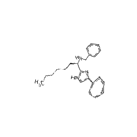 CCCCCC[C@@H](NCc1ccccc1)c1nc(-c2ccccc2)c[nH]1